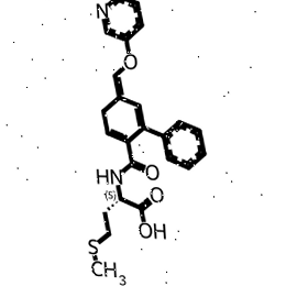 CSCC[C@H](NC(=O)C1=CCC(=COc2cccnc2)C=C1c1ccccc1)C(=O)O